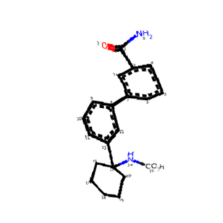 NC(=O)c1cccc(-c2cccc(C3(NC(=O)O)CCCCC3)c2)c1